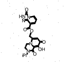 CC(C)N1CCn2c(COC(=O)c3cccn4c(=O)[nH]nc34)cc(=O)c(O)c2C1=O